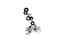 CC(C)(C)[Si](C)(C)O[C@H]1C[C@H](n2ccc3c(N[C@H]4CCc5ccccc54)ncnc32)C[C@H]1C=CS(=O)(=O)NC(=O)O